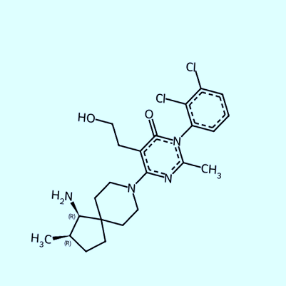 Cc1nc(N2CCC3(CC[C@@H](C)[C@H]3N)CC2)c(CCO)c(=O)n1-c1cccc(Cl)c1Cl